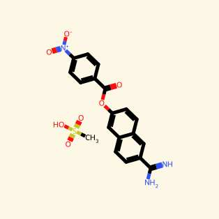 CS(=O)(=O)O.N=C(N)c1ccc2cc(OC(=O)c3ccc([N+](=O)[O-])cc3)ccc2c1